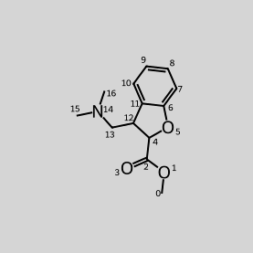 COC(=O)C1Oc2ccccc2C1CN(C)C